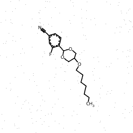 CCCCCCCOC1COC(c2ccc(C#N)cc2F)OC1